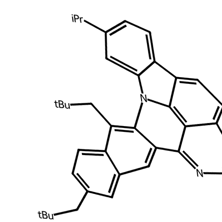 CC(C)c1ccc2c3ccc4ncnc5c6cc7cc(CC(C)(C)C)ccc7c(CC(C)(C)C)c6n(c2c1)c3c45